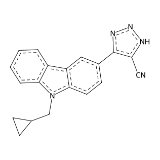 N#Cc1[nH]nnc1-c1ccc2c(c1)c1ccccc1n2CC1CC1